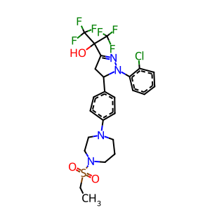 CCS(=O)(=O)N1CCCN(c2ccc(C3CC(C(O)(C(F)(F)F)C(F)(F)F)=NN3c3ccccc3Cl)cc2)CC1